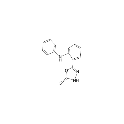 S=c1[nH]nc(-c2ccccc2Nc2ccccc2)o1